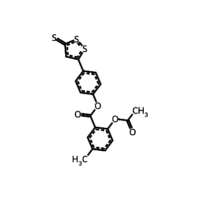 CC(=O)Oc1ccc(C)cc1C(=O)Oc1ccc(-c2cc(=S)ss2)cc1